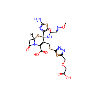 CON=CC(=O)NC1(c2csc(N)n2)S[C@H]2CC(=O)N2C(C(=O)O)=C1CSc1nnc(COCC(=O)O)s1